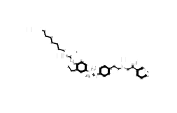 CCCCCCCCNC(=O)N1CCc2cc(S(=O)(=O)Nc3ccc(CCNCC(O)c4cccnc4)cc3)ccc21